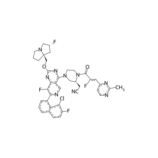 Cc1nccc(/C=C(\F)C(=O)N2CCN(c3nc(OC[C@@]45CCCN4C[C@H](F)C5)nc4c(F)c(-c5cccc6ccc(F)c(Cl)c56)ncc34)C[C@@H]2CC#N)n1